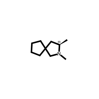 C[C@@H]1CC2(CCCC2)CN1C